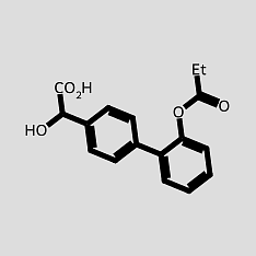 CCC(=O)Oc1ccccc1-c1ccc(C(O)C(=O)O)cc1